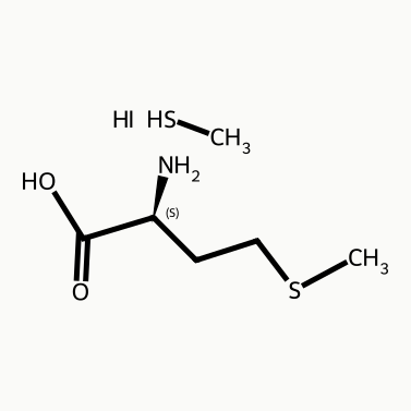 CS.CSCC[C@H](N)C(=O)O.I